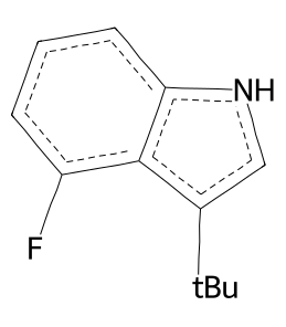 CC(C)(C)c1c[nH]c2cccc(F)c12